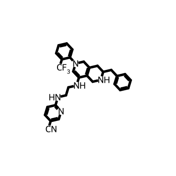 N#Cc1ccc(NCCNC2=CN(c3ccccc3C(F)(F)F)CC3=C2CNC(Cc2ccccc2)C3)nc1